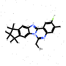 Cc1cc2nc(CC(C)(C)C)n3c4cc5c(cc4nc3c2cc1F)C(C)(C)C(C)(C)C5(C)C